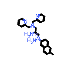 Cc1ccc2cc(N(N)/C=C(\N)CN(Cc3ccccn3)Cc3ccccn3)ccc2c1